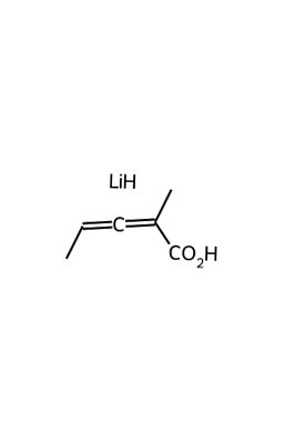 CC=C=C(C)C(=O)O.[LiH]